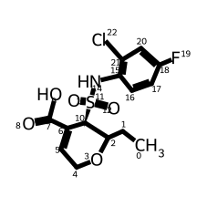 CCC1OCC=C(C(=O)O)[C@H]1S(=O)(=O)Nc1ccc(F)cc1Cl